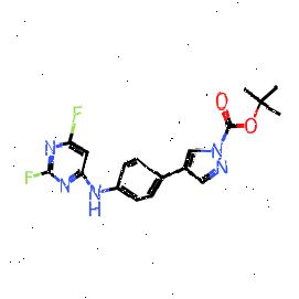 CC(C)(C)OC(=O)n1cc(-c2ccc(Nc3cc(F)nc(F)n3)cc2)cn1